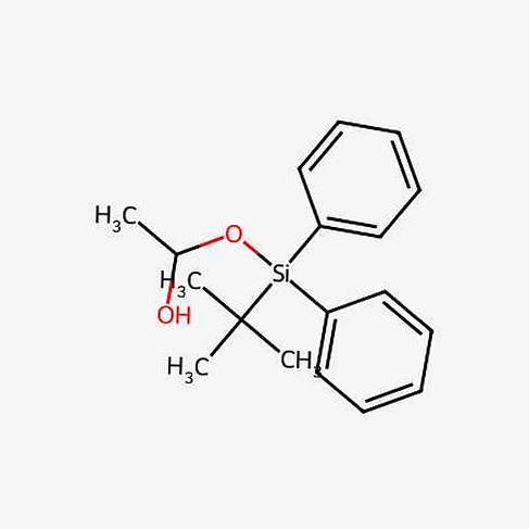 CC(O)O[Si](c1ccccc1)(c1ccccc1)C(C)(C)C